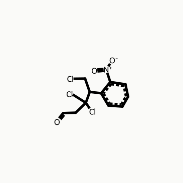 O=CCC(Cl)(Cl)C(CCl)c1ccccc1[N+](=O)[O-]